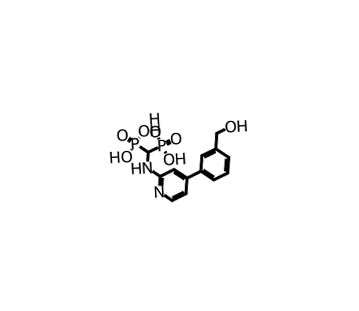 O=P(O)(O)C(Nc1cc(-c2cccc(CO)c2)ccn1)P(=O)(O)O